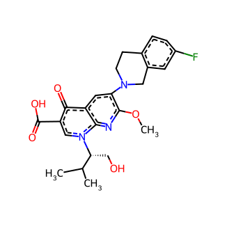 COc1nc2c(cc1N1CCc3ccc(F)cc3C1)c(=O)c(C(=O)O)cn2[C@H](CO)C(C)C